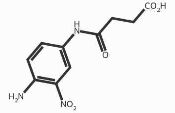 Nc1ccc(NC(=O)CCC(=O)O)cc1[N+](=O)[O-]